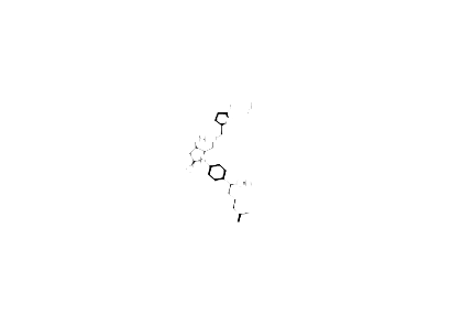 C=C(C)CCCC(O)c1ccc(N2C(=O)CC(C#N)C2COCc2ccc(C(=O)O)o2)cc1